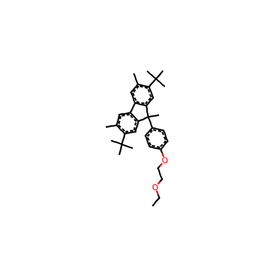 CCOCCOc1ccc(C2(C)c3cc(C(C)(C)C)c(C)cc3-c3cc(C)c(C(C)(C)C)cc32)cc1